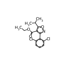 CCOC(=O)c1c(-c2c(Cl)cccc2Cl)noc1C(C)C